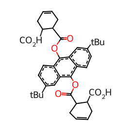 CC(C)(C)c1ccc2c(OC(=O)C3CC=CCC3C(=O)O)c3cc(C(C)(C)C)ccc3c(OC(=O)C3CC=CCC3C(=O)O)c2c1